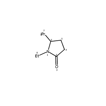 CCN1C(=O)CCC1C(C)C